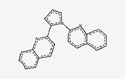 c1ccc2nc(-c3cccn3-c3ccc4ccccc4n3)ccc2c1